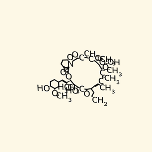 C=CCC1/C=C(\C)C[C@H](C)C[C@H](OC)[C@@H](OCO)[C@@H](OC)C[C@@H](C)CC(=O)C(=O)N2CCCC[C@H]2C(=O)O[C@H](/C(C)=C/C2CC[C@@H](O)[C@H](OC)C2)[C@H](C)[C@@H](O)CC1=O